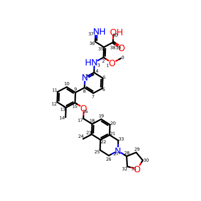 CO/C(Nc1cccc(-c2cccc(C)c2OCc2ccc3c(c2C)CCN(C2CCOC2)C3)n1)=C(/C=N)C(=O)O